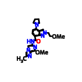 COCCn1cc2c(N3CCCC3)ccc(C(=O)Nc3cn4cc(C)nc4c(OC)n3)c2n1